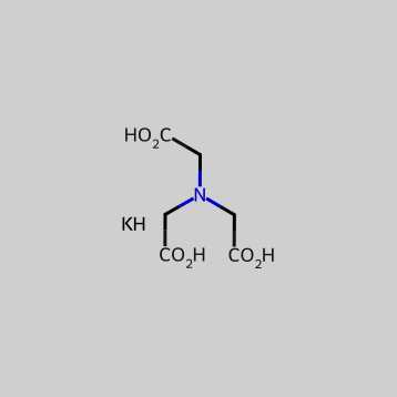 O=C(O)CN(CC(=O)O)CC(=O)O.[KH]